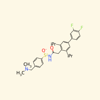 CC(C)c1cc(-c2ccc(F)c(F)c2)cc(C(C)C)c1CC(=O)N[S+]([O-])c1ccc(CN(C)C)cc1